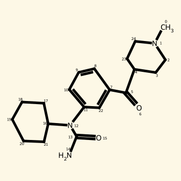 CN1CCC(C(=O)c2cccc(N(C(N)=O)C3CCCCC3)c2)CC1